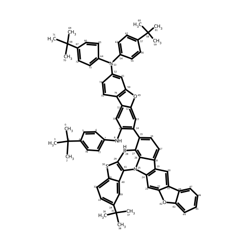 CC(C)(C)c1ccc(Nc2cc3c(cc2-c2ccc4c5cc6c(cc5n5c4c2Bc2sc4ccc(C(C)(C)C)cc4c2-5)oc2ccccc26)oc2cc(N(c4ccc(C(C)(C)C)cc4)c4ccc(C(C)(C)C)cc4)ccc23)cc1